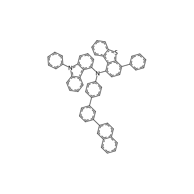 c1ccc(-c2ccc(N(c3ccc(-c4cccc(-c5ccc6ccccc6c5)c4)cc3)c3cccc4c3c3ccccc3n4-c3ccccc3)c3c2sc2ccccc23)cc1